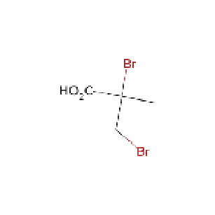 CC(Br)(CBr)C(=O)O